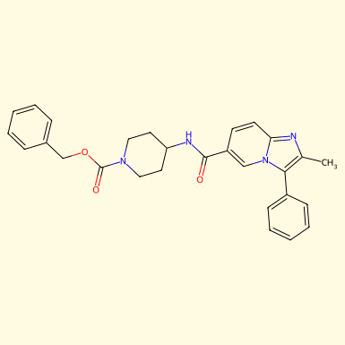 Cc1nc2ccc(C(=O)NC3CCN(C(=O)OCc4ccccc4)CC3)cn2c1-c1ccccc1